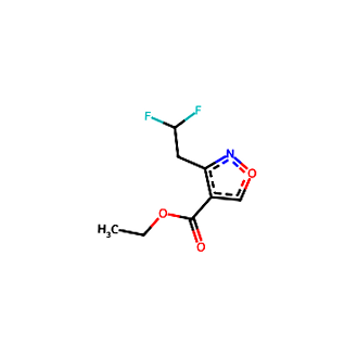 CCOC(=O)c1conc1CC(F)F